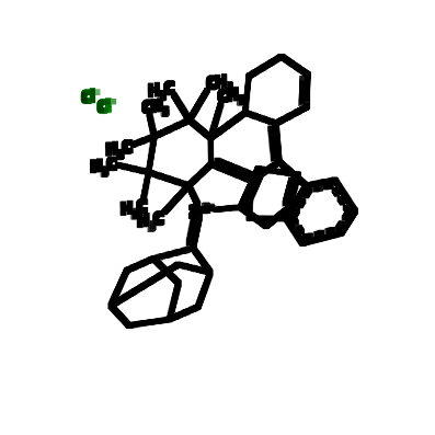 CC12C(=C3Cc4ccccc4C3=C3C=CCCC31)[C](C)([Zr+2]([C]1=CC=CC1)=[C]1C3CC4CC(C3)CC1C4)C(C)(C)C(C)(C)C2(C)C.[Cl-].[Cl-]